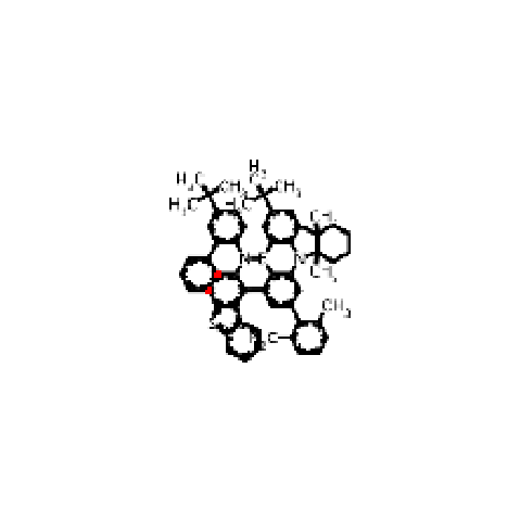 Cc1cccc(C)c1-c1cc2c3c(c1)N1c4c(cc(C(C)(C)C)cc4C4(C)CCCCC14C)B3N(c1ccc(C(C)(C)C)cc1-c1ccccc1)c1ccc3sc4ccccc4c3c1-2